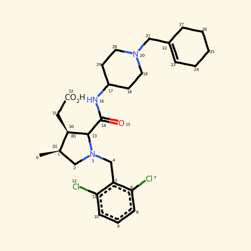 C[C@@H]1CN(Cc2c(Cl)cccc2Cl)C(C(=O)NC2CCN(CC3=CCCCC3)CC2)[C@@H]1CC(=O)O